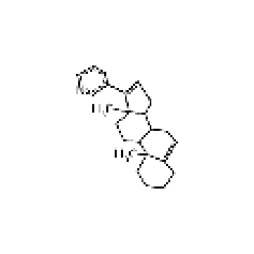 CC12CCCCC1=CCC1C2CCC2(C)C(c3cccnc3)=CCC12